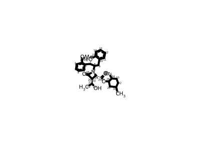 COc1ccccc1CC(Cc1ccccc1OC)N1C(=O)[C@H](C(C)O)[C@H]1C(=O)OC1CC(C)CCC1C(C)C